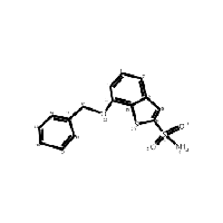 NS(=O)(=O)c1cc2cccc(OCc3ccccc3)c2s1